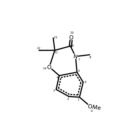 COc1ccc2c(c1)N(C)C(=O)C(C)(C)O2